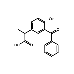 CC(C(=O)O)c1cccc(C(=O)c2ccccc2)c1.[Cu]